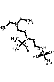 CCN(CC)CCN(CCNS(C)(=O)=O)C(C)(C)C